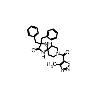 Cc1nnsc1C(=O)N1CCC2(CC1)NC(=O)C(Cc1ccccc1)(Cc1ccccc1)N2